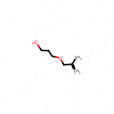 C=C(C)COCCCO